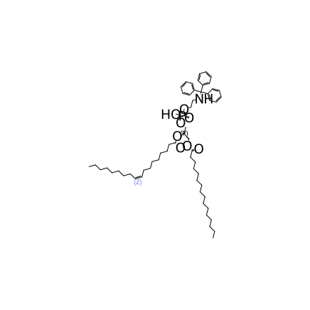 CCCCCCCC/C=C\CCCCCCCC(=O)O[C@H](COC(=O)CCCCCCCCCCCCCCC)COP(=O)(O)OCCNC(c1ccccc1)(c1ccccc1)c1ccccc1